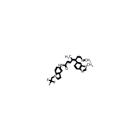 C=N\C=C/C(=C(C)/C=C/C(=O)Nc1ccc2c(ccn2CC(F)(F)F)c1)c1ccc2ncn(C)c2c1